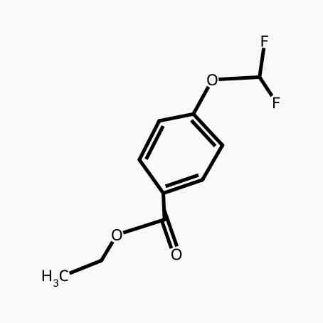 CCOC(=O)c1ccc(OC(F)F)cc1